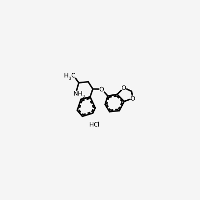 CC(N)CC(Oc1cccc2c1OCO2)c1ccccc1.Cl